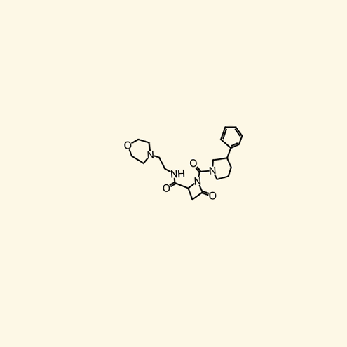 O=C(NCCN1CCOCC1)C1CC(=O)N1C(=O)N1CCCC(c2ccccc2)C1